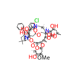 CC[C@H]1OC(=O)[C@H](C)[C@@H](O[C@H]2C[C@@](C)(OC)[C@@H](O)[C@H](C)O2)[C@H](C)[C@@H](O[C@@H]2O[C@H](C)C[C@H](O)[C@H]2N(C)CCOC(=O)Cc2c(-c3ccc(Cl)cc3)c(-c3ccccc3)c3n2CC(C)(C)C3)[C@](C)(O)C[C@@H](C)CN(C)[C@H](C)[C@@H](O)[C@]1(C)O